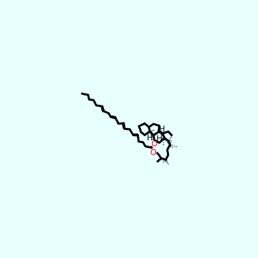 CCCCCC=CCC=CCC=CCC=CCCCC(=O)OCC(C)[C@@H](C)CC[C@@H](C)[C@H]1CC[C@H]2[C@@H]3CCC4CCCC[C@]4(C)[C@H]3CC[C@]12C